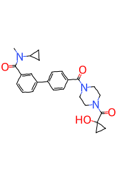 CN(C(=O)c1cccc(-c2ccc(C(=O)N3CCN(C(=O)C4(O)CC4)CC3)cc2)c1)C1CC1